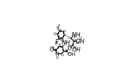 CSc1ccc(Nc2cc(=O)n(C)cc2C(=O)O)c(F)c1.NCC(O)CO